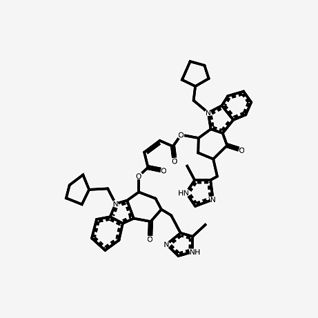 Cc1[nH]cnc1CC1CC(OC(=O)/C=C\C(=O)OC2CC(Cc3nc[nH]c3C)C(=O)c3c2n(CC2CCCC2)c2ccccc32)c2c(c3ccccc3n2CC2CCCC2)C1=O